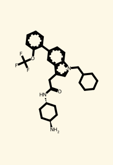 N[C@H]1CC[C@H](NC(=O)Cc2cn(CC3CCCCC3)c3ccc(-c4ccccc4OC(F)(F)F)cc23)CC1